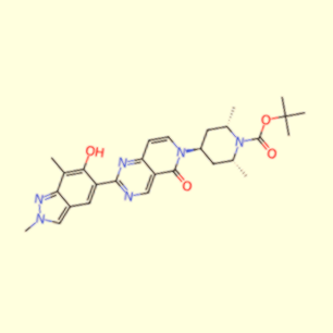 Cc1c(O)c(-c2ncc3c(=O)n([C@@H]4C[C@@H](C)N(C(=O)OC(C)(C)C)[C@@H](C)C4)ccc3n2)cc2cn(C)nc12